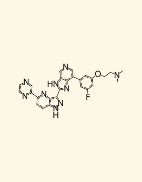 CN(C)CCOc1cc(F)cc(-c2cncc3[nH]c(-c4n[nH]c5ccc(-c6cnccn6)nc45)nc23)c1